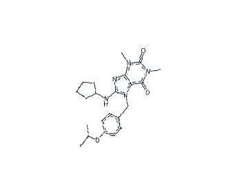 CC(C)Oc1ccc(Cn2c(NC3CCCC3)nc3c2c(=O)n(C)c(=O)n3C)cc1